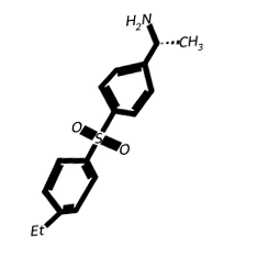 CCc1ccc(S(=O)(=O)c2ccc([C@@H](C)N)cc2)cc1